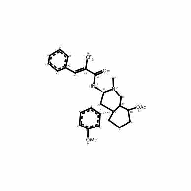 COc1cccc([C@@]23CCCC(OC(C)=O)C2CN(C)[C@H](NC(=O)C(=Cc2ccccc2)C(F)(F)F)C3)c1